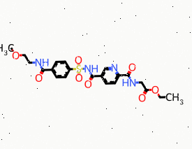 CCOC(=O)CNC(=O)c1ccc(C(=O)NS(=O)(=O)c2ccc(C(=O)NCCOC)cc2)cn1